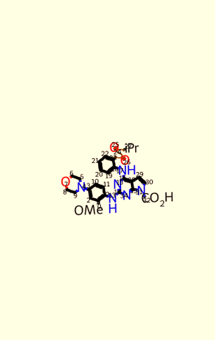 COc1cc(N2CCOCC2)ccc1Nc1nc(Nc2ccccc2S(=O)(=O)C(C)C)c2ccn(C(=O)O)c2n1